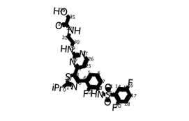 CC(C)c1nc(-c2cccc(NS(=O)(=O)c3cc(F)ccc3F)c2F)c(-c2ccnc(NCCNC(=O)CO)n2)s1